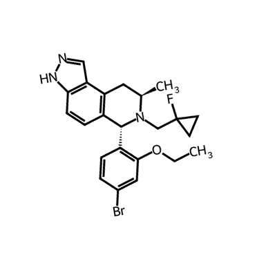 CCOc1cc(Br)ccc1[C@@H]1c2ccc3[nH]ncc3c2C[C@@H](C)N1CC1(F)CC1